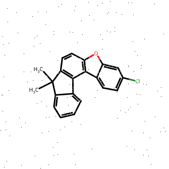 CC1(C)c2ccccc2-c2c1ccc1oc3cc(Cl)ccc3c21